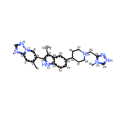 Cc1cc2ncnn2cc1-c1[nH]c2ccc(C3CCN(Cc4nncn4C)CC3)cc2c1C(C)C